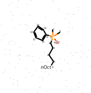 CCCCCCCCCCCCP(C)(C)(Br)c1ccccc1